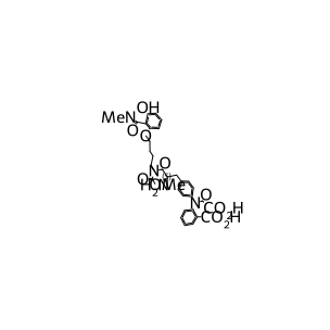 CNC(=O)c1c(O)cccc1OCCCCN(C(=O)OC)C(=O)[C@@H](N)Cc1ccc(N(C(=O)C(=O)O)c2ccccc2C(=O)O)cc1